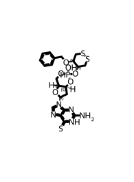 Nc1nc2c(ncn2[C@H]2C[C@@H]3O[PH](O)(O[C@H]4CSSC[C@@H]4OCc4ccccc4)OC[C@H]3O2)c(=S)[nH]1